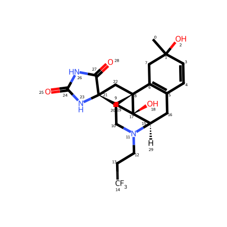 CC1(O)C=CC2=C(C1)[C@]13CCN(CCC(F)(F)F)[C@H](C2)[C@]1(O)CC[C@@]1(C3)NC(=O)NC1=O